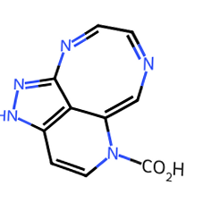 O=C(O)N1C=Cc2[nH]nc3c2C1=CN=CC=N3